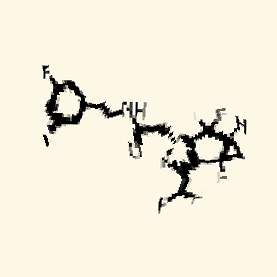 O=C(Cn1nc(C(F)F)c2c1C(F)(F)[C@@H]1C[C@H]21)NCCc1cc(F)cc(F)c1